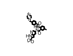 COC(=O)c1cc2cc(NC(=O)c3cc(C)ccc3NC(=O)c3ccc(CN4CCN(C)CC4)cc3)cnc2[nH]1